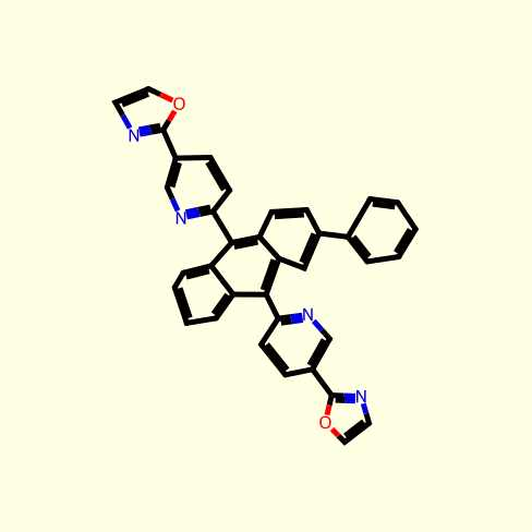 c1ccc(-c2ccc3c(-c4ccc(-c5ncco5)cn4)c4ccccc4c(-c4ccc(-c5ncco5)cn4)c3c2)cc1